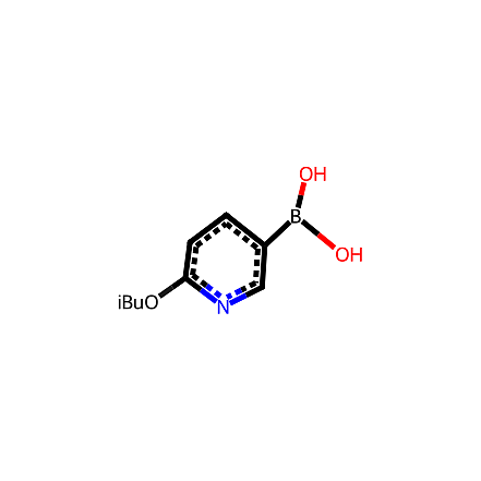 CC(C)COc1ccc(B(O)O)cn1